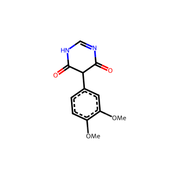 COc1ccc(C2C(=O)N=CNC2=O)cc1OC